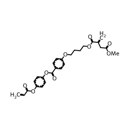 C=CC(=O)Oc1ccc(OC(=O)c2ccc(OCCCCOC(=O)C(=C)CC(=O)OC)cc2)cc1